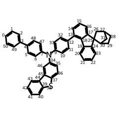 c1ccc(-c2ccc(N(c3ccc(-c4cccc5c4-c4ccccc4C54CC5CCC4C5)cc3)c3ccc4sc5ccccc5c4c3)cc2)cc1